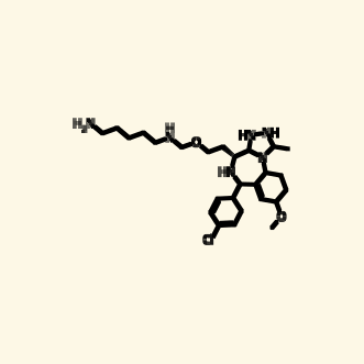 COC1C=C2C(C3C=CC(Cl)=CC3)N[C@@H](CCOCNCCCCCN)C3NNC(C)N3C2CC1